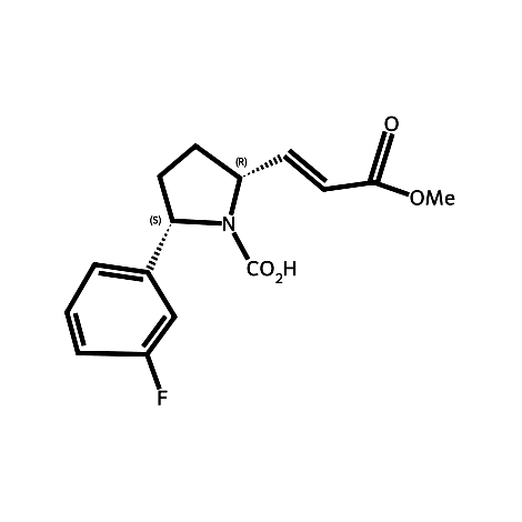 COC(=O)C=C[C@H]1CC[C@@H](c2cccc(F)c2)N1C(=O)O